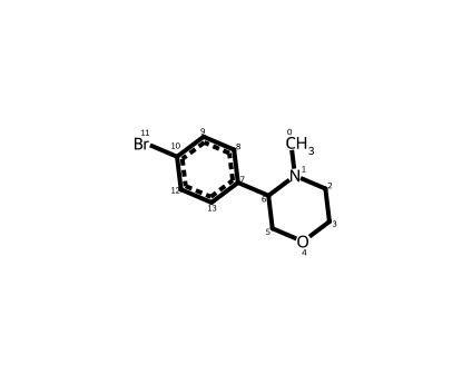 CN1CCOCC1c1ccc(Br)cc1